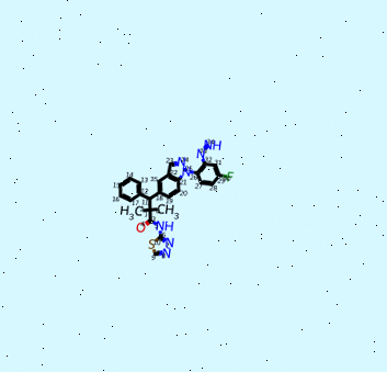 CC(C)(C(=O)Nc1nncs1)C(c1ccccc1)c1ccc2c(cnn2-c2ccc(F)cc2N=N)c1